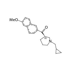 COc1ccc2cc(C(=O)[C@@H]3CCCN(CC4CC4)C3)ccc2c1